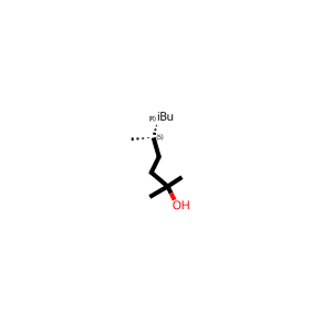 CC[C@@H](C)[C@@H](C)CCC(C)(C)O